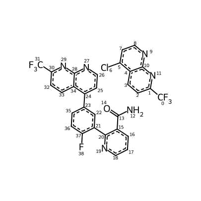 FC(F)(F)c1ccc2c(Cl)ccnc2n1.NC(=O)c1cccnc1-c1cc(-c2ccnc3nc(C(F)(F)F)ccc23)ccc1F